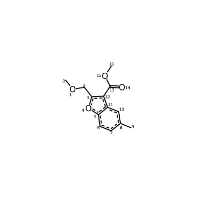 COCc1oc2ccc(C)cc2c1C(=O)OC